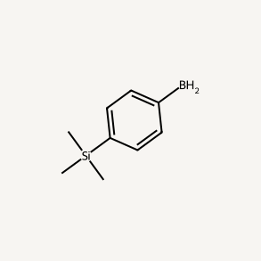 Bc1ccc([Si](C)(C)C)cc1